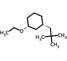 CCO[C@@H]1CCC[C@H](CC(C)(C)C)C1